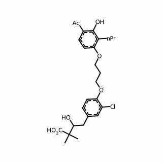 CCCc1c(OCCCOc2ccc(CC(O)C(C)(C)C(=O)O)cc2Cl)ccc(C(C)=O)c1O